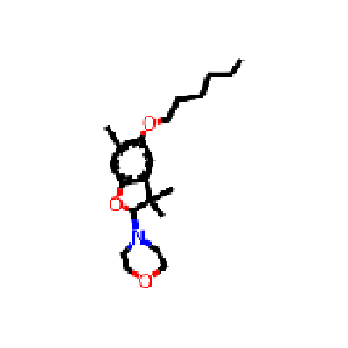 CCCCCCOc1cc2c(cc1C)OC(N1CCOCC1)C2(C)C